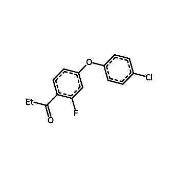 CCC(=O)c1ccc(Oc2ccc(Cl)cc2)cc1F